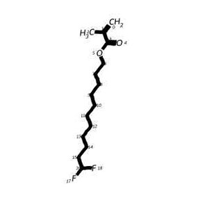 C=C(C)C(=O)OCCCCCCCCCCC(F)F